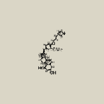 COc1cc(C=C2C[C@H]3[C@@H]4CC=C5CC(O)CC(O)[C@]5(C)[C@@H]4CC[C@]3(C)C2)ccc1OCCCn1ccnc1